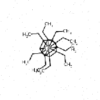 CC[C]12[CH]3[C]4(CC)[C]5(CC)[C]1(CC)[Fe]32451678[C]2(CC)[C]1(CC)[C]6(CC)[C]7(CC)[C]28CC